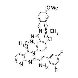 COc1ccc(CN(c2nn(C)c3c(-n4c(C(N)Cc5cc(F)cc(F)c5)nc5ncccc5c4=O)ccc(Cl)c23)S(C)(=O)=O)cc1